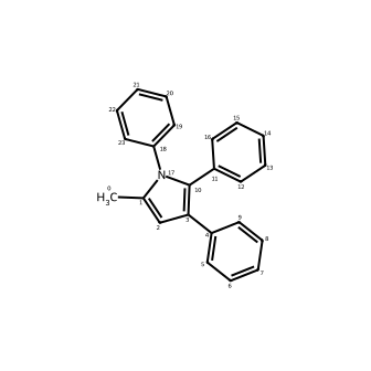 Cc1cc(-c2ccccc2)c(-c2ccccc2)n1-c1ccccc1